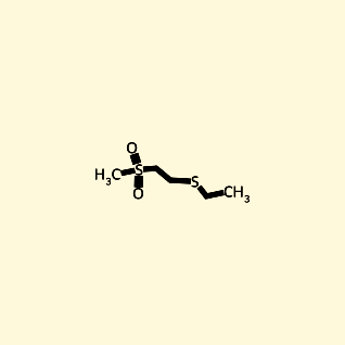 CCSCCS(C)(=O)=O